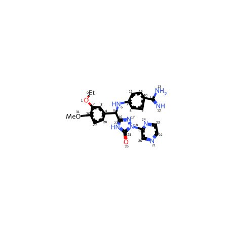 CCOc1cc(C(Nc2ccc(C(=N)N)cc2)c2nn(-c3cnccn3)c(=O)[nH]2)ccc1OC